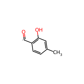 Cc1ccc([C]=O)c(O)c1